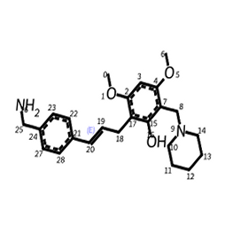 COc1cc(OC)c(CN2CCCCC2)c(O)c1C/C=C/c1ccc(CN)cc1